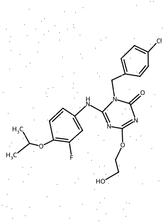 CC(C)Oc1ccc(Nc2nc(OCCO)nc(=O)n2Cc2ccc(Cl)cc2)cc1F